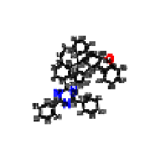 C1=Cc2ccc(-c3nc(-c4ccccc4)nc(-c4ccccc4)n3)cc2C2(c3ccccc31)c1ccccc1-c1c2ccc2oc3ccccc3c12